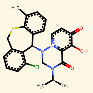 Cc1cccc2c1SCc1cccc(Cl)c1[C@@H]2N1CN([C@H](C)C(F)(F)F)C(=O)c2c(O)c(=O)ccn21